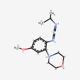 COc1ccc(N=C=NC(C)C)c(N2CCOCC2)c1